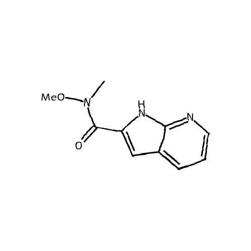 CON(C)C(=O)c1cc2cccnc2[nH]1